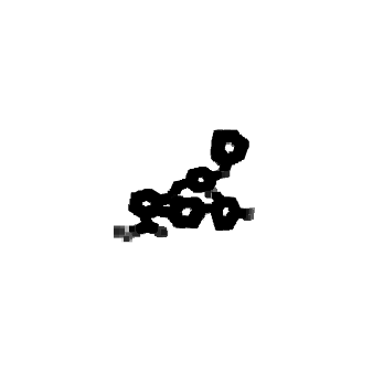 NC(=O)c1cccc2c1c1[c]cc(-c3ccc(Cl)cc3Cl)cc1n2Cc1ccc(Oc2ccccc2)cc1